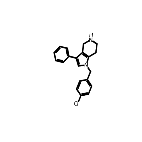 Clc1ccc(Cn2cc(-c3ccccc3)c3c2CCNC3)cc1